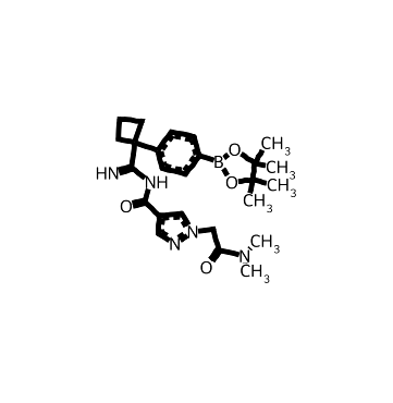 CN(C)C(=O)Cn1cc(C(=O)NC(=N)C2(c3ccc(B4OC(C)(C)C(C)(C)O4)cc3)CCC2)cn1